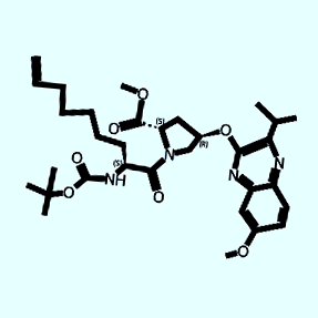 C=CCCCCC[C@H](NC(=O)OC(C)(C)C)C(=O)N1C[C@H](Oc2nc3cc(OC)ccc3nc2C(C)C)C[C@H]1C(=O)OC